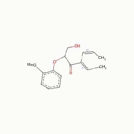 C/C=C\C(=C/C)C(=O)C(CO)Oc1ccccc1OC